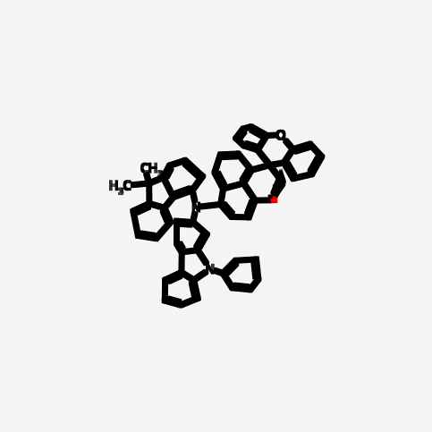 CC1(C)c2ccccc2-c2c(N(c3ccc4c5ccccc5n(-c5ccccc5)c4c3)c3ccc4c5c(cccc35)C3(c5ccccc5Oc5ccccc53)c3ccccc3-4)cccc21